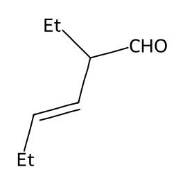 CCC=CC(C=O)CC